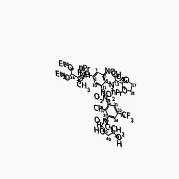 C=C.CCCN(c1c([N+](=O)[O-])cc(C(F)(F)F)cc1[N+](=O)[O-])C(C)C1OCCO1.CCCNC(C)C(OCC)OCC.O=[N+]([O-])c1cc(C(F)(F)F)cc([N+](=O)[O-])c1Cl.OCCO